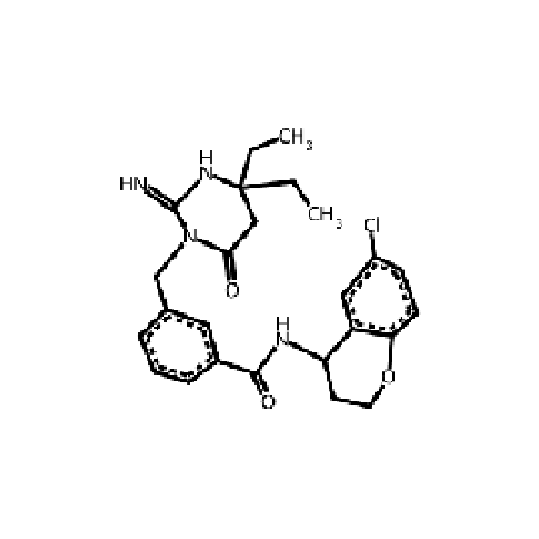 CCC1(CC)CC(=O)N(Cc2cccc(C(=O)NC3CCOc4ccc(Cl)cc43)c2)C(=N)N1